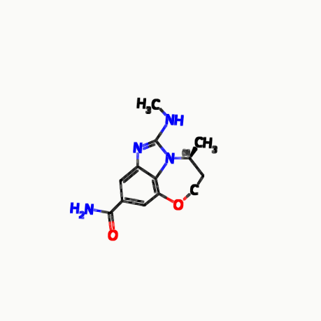 CNc1nc2cc(C(N)=O)cc3c2n1[C@@H](C)CCO3